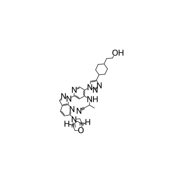 CC(C#N)Nc1cc(-n2ncc3ccc(N4C[C@H]5C[C@@H]4CO5)nc32)ncc1-n1cc(C2CCC(CCO)CC2)nn1